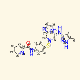 Cc1cc(NC2=CN(Sc3ccc(NC(=O)c4ccccn4)cc3)CC3=NC=C[N+]23)n[nH]1